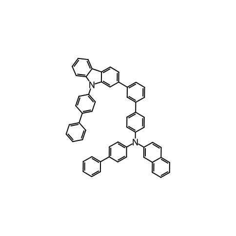 c1ccc(-c2ccc(N(c3ccc(-c4cccc(-c5ccc6c7ccccc7n(-c7ccc(-c8ccccc8)cc7)c6c5)c4)cc3)c3ccc4ccccc4c3)cc2)cc1